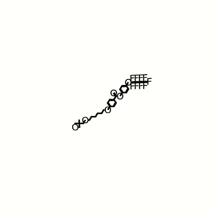 CC1(COCCCCCCOc2ccc(C(=O)Oc3ccc(OC(F)(F)C(F)(F)C(F)(F)C(F)(F)F)cc3)cc2)COC1